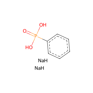 O=P(O)(O)c1ccccc1.[NaH].[NaH]